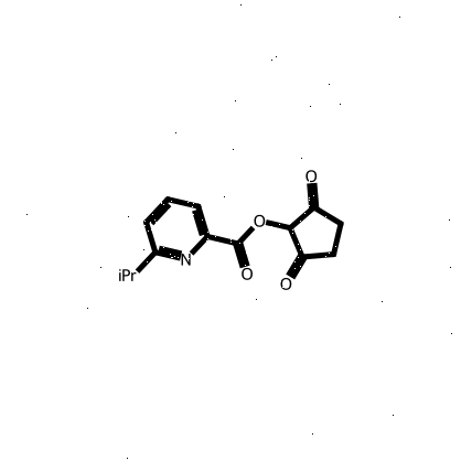 CC(C)c1cccc(C(=O)OC2C(=O)CCC2=O)n1